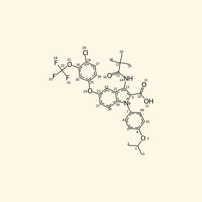 CC(C)Oc1ccc(-n2c(C(=O)O)c(NC(=O)C(C)(C)C)c3cc(Oc4ccc(Cl)c(OC(F)(F)F)c4)ccc32)cc1